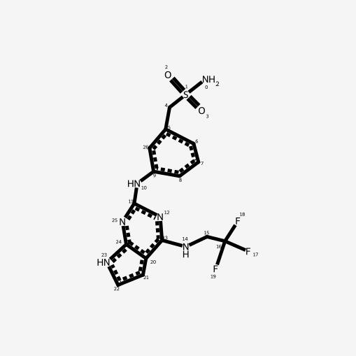 NS(=O)(=O)Cc1cccc(Nc2nc(NCC(F)(F)F)c3cc[nH]c3n2)c1